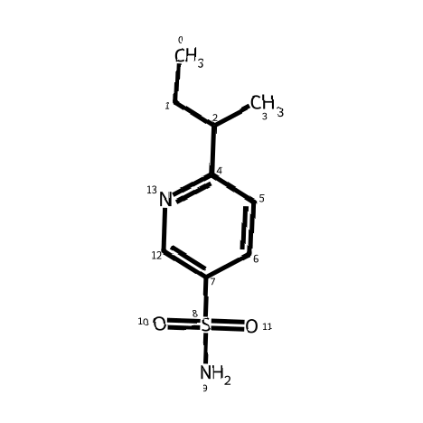 CCC(C)c1ccc(S(N)(=O)=O)cn1